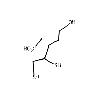 CC(=O)O.OCCCC(S)CS